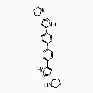 c1cc(-c2cc([C@@H]3CCCN3)n[nH]2)ccc1-c1ccc(-c2cc([C@@H]3CCCN3)n[nH]2)cc1